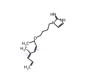 C=C/C=C(C)\C=C/C(C)OCCCCn1cc[nH]c1=N